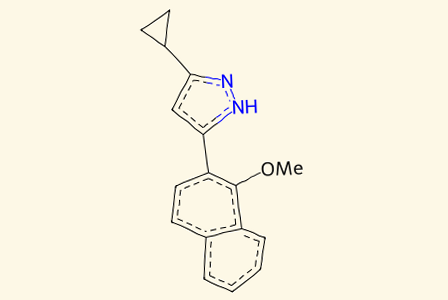 COc1c(-c2cc(C3CC3)n[nH]2)ccc2ccccc12